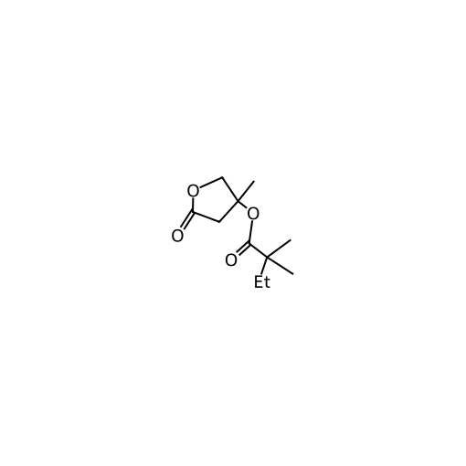 CCC(C)(C)C(=O)OC1(C)COC(=O)C1